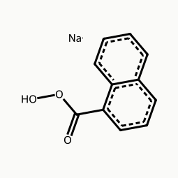 O=C(OO)c1cccc2ccccc12.[Na]